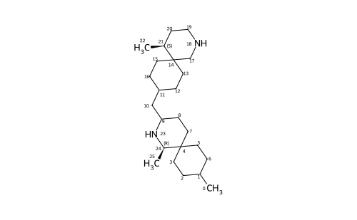 CC1CCC2(CC1)CCC(CC1CCC3(CC1)CNCC[C@@H]3C)N[C@@H]2C